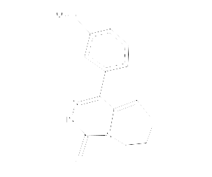 COc1cccc(C2=NNC(=O)N3CCSC=C23)c1